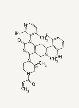 C=CC(=O)N1CCN(c2nc(=O)n(-c3c(C)ccnc3C(C)C)c3c2CN(C)C(c2c(O)cccc2F)C3)[C@@H](C)C1